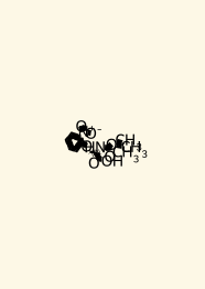 CC(C)(C)OC(=O)N[C@H](COc1ccccc1[N+](=O)[O-])C(=O)O